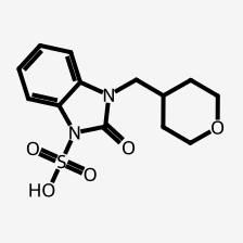 O=c1n(CC2CCOCC2)c2ccccc2n1S(=O)(=O)O